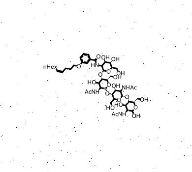 CCCCCC/C=C\CCCOc1cccc(C(=O)NC2[C@H](O[C@H]3C(O)C(NC(C)=O)[C@H](O[C@@H]4C(CO)O[C@@H](O[C@H]5C(O)C(NC(C)=O)C(O)O[C@H]5CO)C(NC(C)=O)[C@H]4O)O[C@H]3CO)OC(CO)[C@@H](O)[C@@H]2O)c1